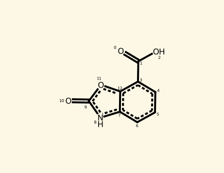 O=C(O)c1cccc2[nH]c(=O)oc12